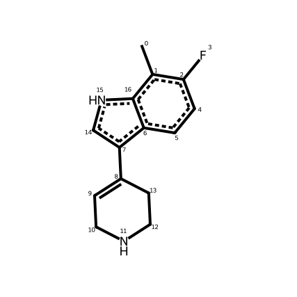 Cc1c(F)ccc2c(C3=CCNCC3)c[nH]c12